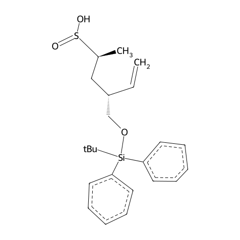 C=C[C@H](CO[Si](c1ccccc1)(c1ccccc1)C(C)(C)C)C[C@H](C)S(=O)O